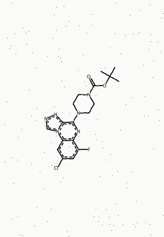 CC(C)(C)OC(=O)N1CCN(c2nc3c(F)cc(Cl)cc3n3cnnc23)CC1